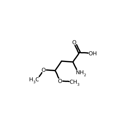 COC(CC(N)C(=O)O)OC